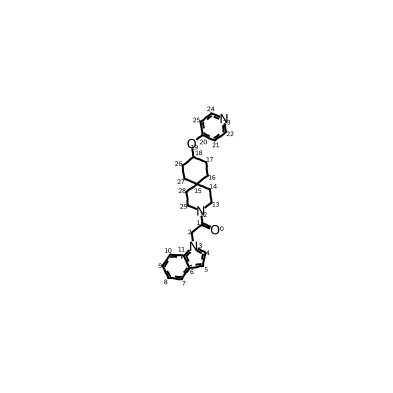 O=C(Cn1ccc2ccccc21)N1CCC2(CCC(Oc3ccncc3)CC2)CC1